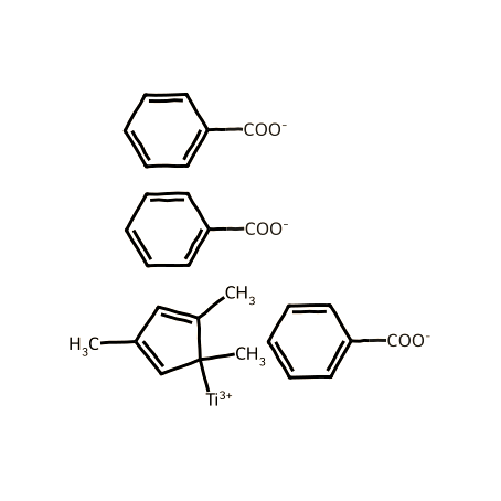 CC1=C[C](C)([Ti+3])C(C)=C1.O=C([O-])c1ccccc1.O=C([O-])c1ccccc1.O=C([O-])c1ccccc1